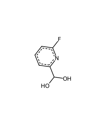 OC(O)c1cccc(F)n1